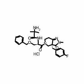 CN1N=C2CCN(C(=O)[C@@H](COCc3ccccc3)NC(=O)C(C)(C)N)C[C@]2(Cc2ccc(F)cc2)C1=O.Cl